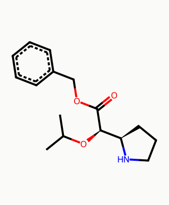 CC(C)O[C@@H](C(=O)OCc1ccccc1)[C@H]1CCCN1